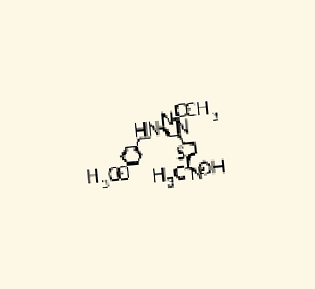 COc1ccc(CCNc2cc(C3CC=C(/C(C)=N\O)S3)nc(OC)n2)cc1